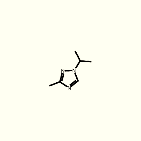 Cc1ncn(C(C)C)n1